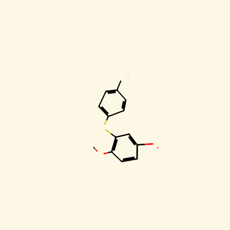 CCOc1ccc(OCC)c(Sc2ccc(C)cc2)c1.[Cl-].[Cl-].[Zn+2]